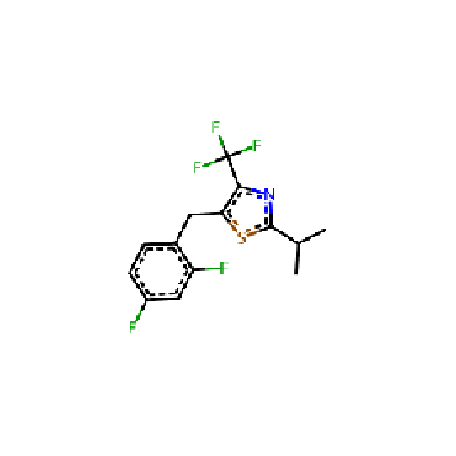 CC(C)c1nc(C(F)(F)F)c(Cc2ccc(F)cc2F)s1